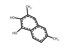 Cc1ccc2c(O)c(O)c(C)cc2c1